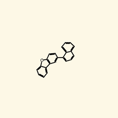 [c]1c(-c2cccc3ccccc23)ccc2oc3ccccc3c12